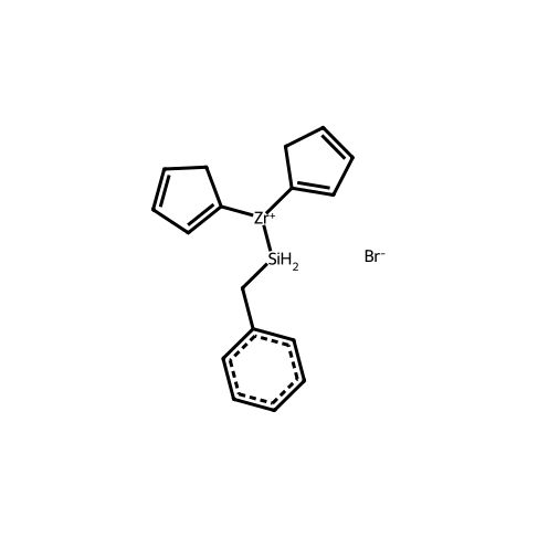 C1=CC[C]([Zr+]([SiH2]Cc2ccccc2)[C]2=CC=CC2)=C1.[Br-]